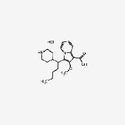 CCCCC(c1c(OC)c(C(=O)O)c2ccccn12)C1CCNCC1.Cl